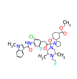 CCOC(=O)C1CCC(OC(C(=O)Cc2cc(Cl)c(NC(=O)c3cn(C)c4ccccc34)cc2F)(N2CCCC2)N2CC(C)N(CCF)C(C)C2)CC1